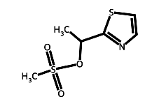 CC(OS(C)(=O)=O)c1nccs1